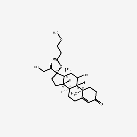 COCCC(=O)O[C@]1(C(=O)CO)CC[C@H]2[C@@H]3CCC4=CC(=O)CC[C@]4(C)[C@H]3C(O)C[C@@]21C